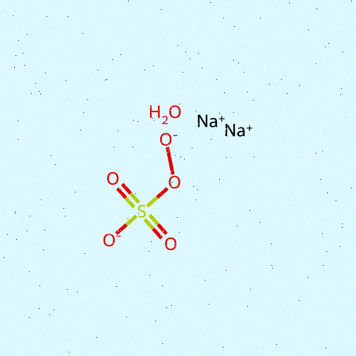 O.O=S(=O)([O-])O[O-].[Na+].[Na+]